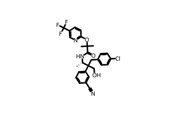 C[C@H](NC(=O)C(C)(C)Oc1ccc(C(F)(F)F)cn1)C(CO)(Cc1ccc(Cl)cc1)c1cccc(C#N)c1